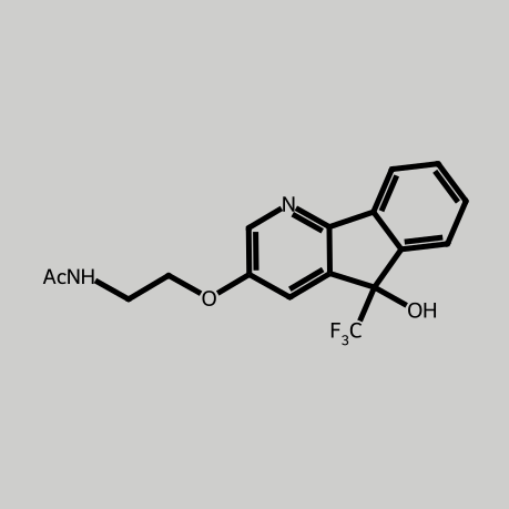 CC(=O)NCCOc1cnc2c(c1)C(O)(C(F)(F)F)c1ccccc1-2